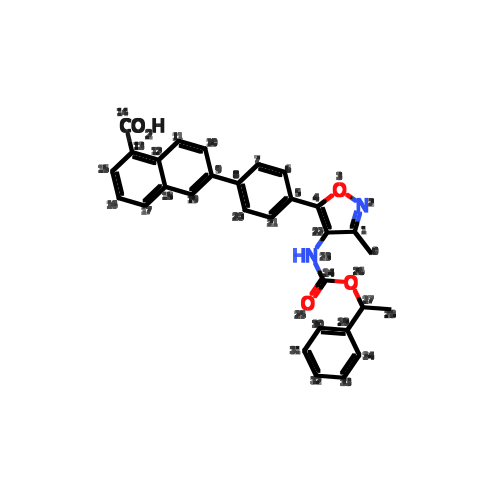 Cc1noc(-c2ccc(-c3ccc4c(C(=O)O)cccc4c3)cc2)c1NC(=O)OC(C)c1ccccc1